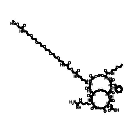 CCOCCNC(=O)[C@@H]1CSCC(=O)N[C@@H](CCCCNC(=O)COCC(=O)NCCOCCOCCOCCOCCOCCNC(=O)CONC)C(=O)N[C@H]2CSSC[C@H](NC(=O)[C@H](CC(=O)O)NC(=O)CNC(=O)[C@H](CCCNC(=N)N)NC2=O)C(=O)N[C@@H](Cc2ccccc2)C(=O)N1